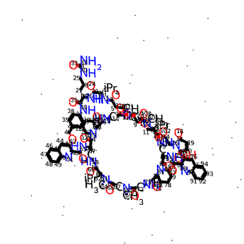 CC(C)[C@H](NC(=O)CCOCCOCCOCCN1C(=O)C=CC1=O)C(=O)N[C@@H](CCCNC(N)=O)C(=O)Nc1ccc(COc2cc3ccccc3nc2C(=O)N[C@@H]2CNC(=O)[C@H](C(C)C)N(C)C(=O)CN(C)C(=O)CNC(=O)[C@@H]3CCCCN3C(=O)[C@H](NC(=O)c3nc4ccccc4cc3O)CNC(=O)[C@H](C(C)C)N(C)C(=O)CN(C)C(=O)CNC(=O)[C@@H]3CCCCN3C2=O)cc1